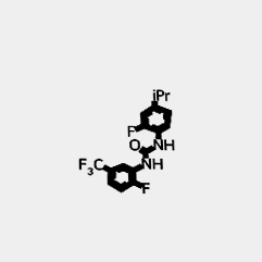 CC(C)c1ccc(NC(=O)Nc2cc(C(F)(F)F)ccc2F)c(F)c1